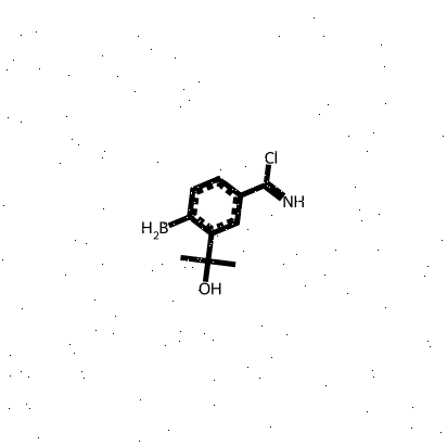 Bc1ccc(C(=N)Cl)cc1C(C)(C)O